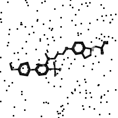 CCc1ccc(-c2ccc(C(F)(F)F)c(N(C)CCCOc3ccc4c(c3)CC[C@H]4CC(=O)O)n2)cc1